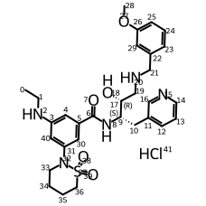 CCNc1cc(C(=O)N[C@@H](Cc2cccnc2)[C@H](O)CNCc2cccc(OC)c2)cc(N2CCCCS2(=O)=O)c1.Cl